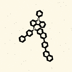 c1ccc(-c2ccc(N(c3ccc4ccc(-c5ccc(-c6ccc7ccccc7c6)cc5)cc4c3)c3cccc4c3c3ccccc3n4-c3ccccc3)cc2)cc1